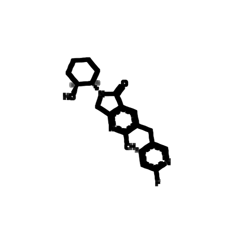 Cc1nc2c(cc1Cc1ccc(F)nc1)C(=O)N([C@H]1CCCC[C@@H]1O)C2